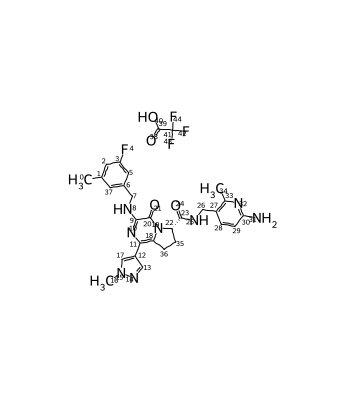 Cc1cc(F)cc(CNc2nc(-c3cnn(C)c3)c3n(c2=O)[C@H](C(=O)NCc2ccc(N)nc2C)CC3)c1.O=C(O)C(F)(F)F